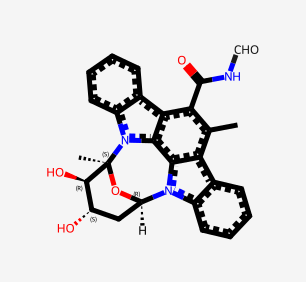 Cc1c(C(=O)NC=O)c2c3ccccc3n3c2c2c1c1ccccc1n2[C@H]1C[C@H](O)[C@@H](O)[C@]3(C)O1